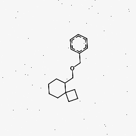 c1ccc(COCC2CCCCC23CCC3)cc1